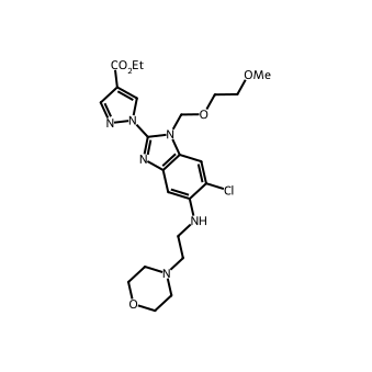 CCOC(=O)c1cnn(-c2nc3cc(NCCN4CCOCC4)c(Cl)cc3n2COCCOC)c1